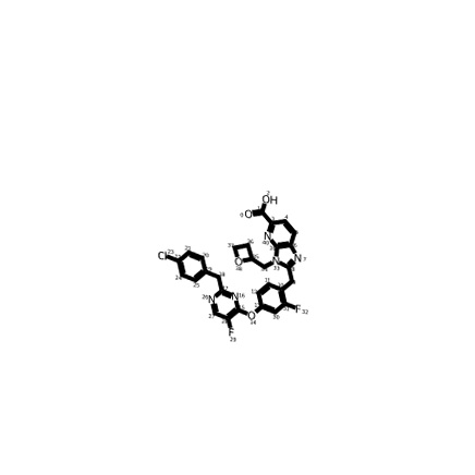 O=C(O)c1ccc2nc(Cc3ccc(Oc4nc(Cc5ccc(Cl)cc5)ncc4F)cc3F)n(CC3CCO3)c2n1